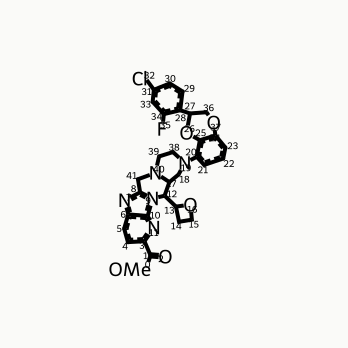 COC(=O)c1ccc2nc3n(c2n1)C(C1CCO1)C1CN(c2cccc4c2OC(c2ccc(Cl)cc2F)CO4)CCN1C3